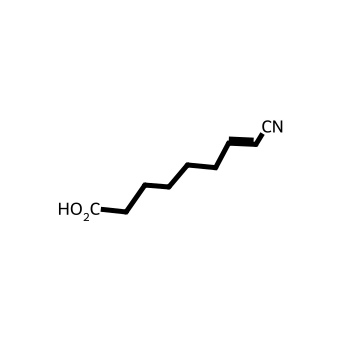 N#C/C=C/CCCCCC(=O)O